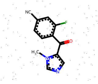 Cn1cncc1C(=O)c1ccc(C#N)cc1F